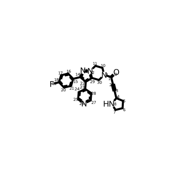 O=C(C#CC1CCCN1)N1CCn2nc(-c3ccc(F)cc3)c(-c3ccncc3)c2C1